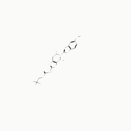 CCOc1ccc2oc(N3[C@H](C=O)Cc4nc(NC(=O)NCC(C)(C)O)sc4[C@@H]3C)nc2c1